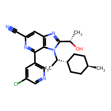 CC([C@H]1CC[C@H](C)CC1)n1c([C@H](C)O)nc2cc(C#N)nc(-c3cncc(Cl)c3)c21